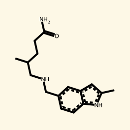 Cc1cc2cc(CNCC(C)CCC(N)=O)ccc2[nH]1